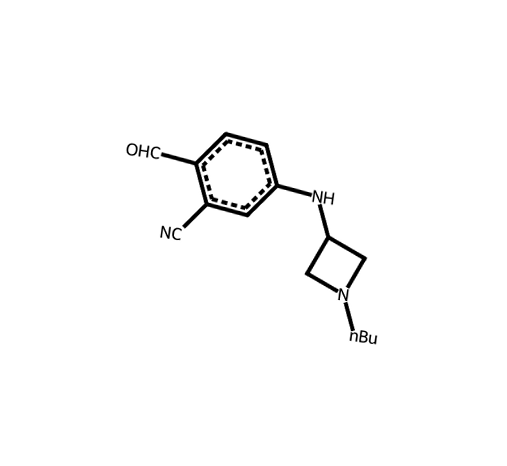 CCCCN1CC(Nc2ccc(C=O)c(C#N)c2)C1